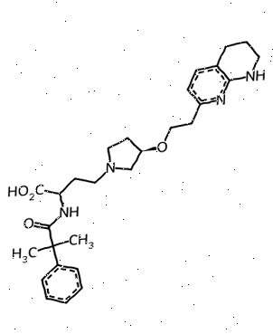 CC(C)(C(=O)NC(CCN1CC[C@@H](OCCc2ccc3c(n2)NCCC3)C1)C(=O)O)c1ccccc1